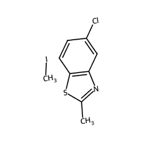 CI.Cc1nc2cc(Cl)ccc2s1